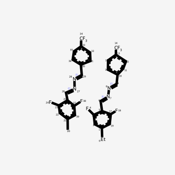 CCc1cc(F)c(/C=N/N=C/c2ccc(C(F)(F)F)cc2)c(F)c1.Cc1cc(F)c(/C=N/N=C/c2ccc(C(F)(F)F)cc2)c(F)c1